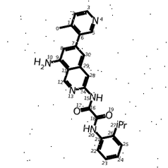 Cc1ccncc1-c1cc(N)c2cnc(NC(=O)C(=O)Nc3ccccc3C(C)C)cc2c1